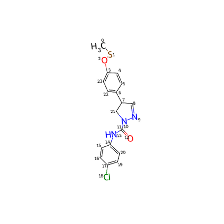 CSOc1ccc(C2C=NN(C(=O)Nc3ccc(Cl)cc3)C2)cc1